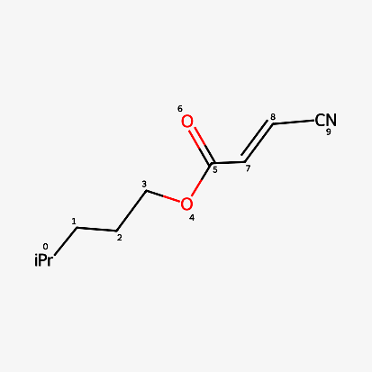 CC(C)CCCOC(=O)C=CC#N